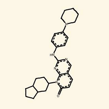 O=c1ccc2cnc(Nc3ccc(N4CCCCC4)cc3)nc2n1C1CCC2CCCC2C1